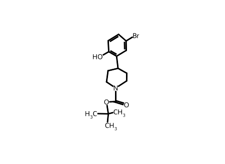 CC(C)(C)OC(=O)N1CCC(c2cc(Br)ccc2O)CC1